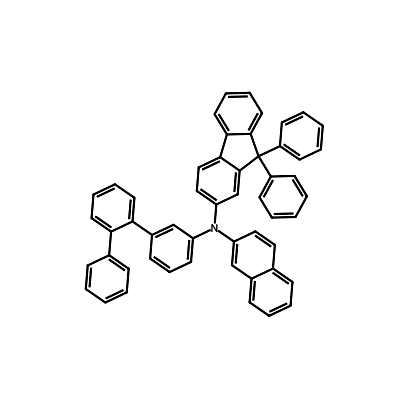 c1ccc(-c2ccccc2-c2cccc(N(c3ccc4c(c3)C(c3ccccc3)(c3ccccc3)c3ccccc3-4)c3ccc4ccccc4c3)c2)cc1